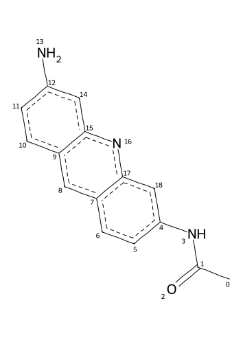 CC(=O)Nc1ccc2cc3ccc(N)cc3nc2c1